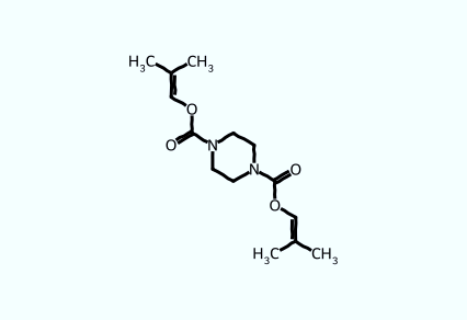 CC(C)=COC(=O)N1CCN(C(=O)OC=C(C)C)CC1